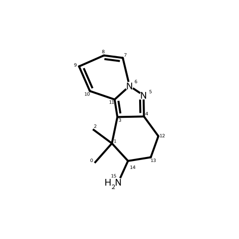 CC1(C)c2c(nn3ccccc23)CCC1N